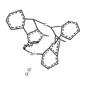 Cn1c2c3c4[c](cccc41)[Zr+2][c]1cccc4c1c1c(n4C)C(CC2c2ccccc2-3)c2ccccc2-1.[Cl-].[Cl-]